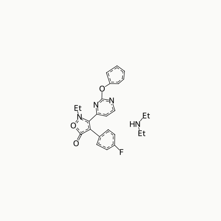 CCNCC.CCn1oc(=O)c(-c2ccc(F)cc2)c1-c1ccnc(Oc2ccccc2)n1